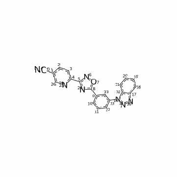 N#Cc1ccc(-c2noc(-c3cccc(-n4nnc5ccccc54)c3)n2)nc1